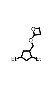 CCC1CC(CC)C(COC2CCO2)C1